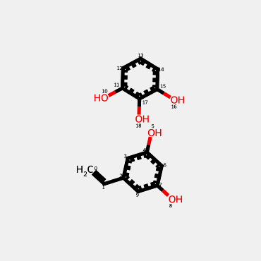 C=Cc1cc(O)cc(O)c1.Oc1cccc(O)c1O